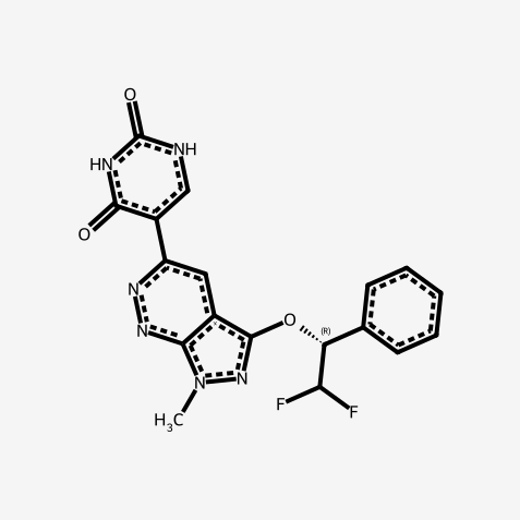 Cn1nc(O[C@H](c2ccccc2)C(F)F)c2cc(-c3c[nH]c(=O)[nH]c3=O)nnc21